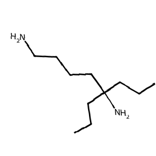 CCCC(N)(CCC)CCCCN